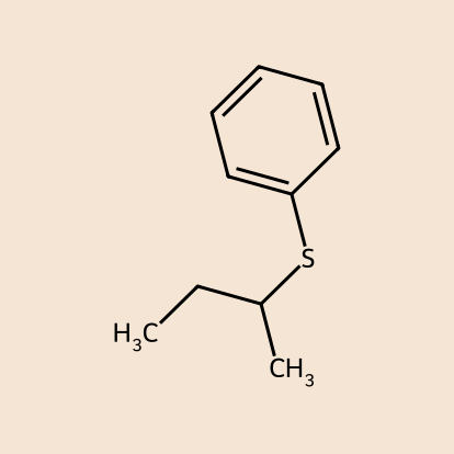 CCC(C)Sc1ccccc1